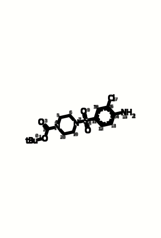 CC(C)(C)OC(=O)N1CCN(S(=O)(=O)c2ccc(N)c(Cl)c2)CC1